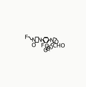 CS(=O)(=O)OCC1(C=O)OCCN1c1ccc(N2CCN(CCF)C(=O)C2)c(F)c1